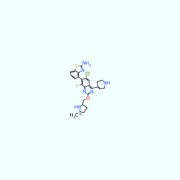 C[C@H]1CCC(COc2nc(C3=CCNCC3)c3cc(Cl)c(-c4cccc5sc(N)nc45)c(F)c3n2)N1